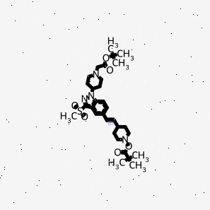 CC(C)(C)OC(=O)CN1CCC(n2nc(S(C)(=O)=O)c3cc(/C=C/C4CCN(OC(=O)C(C)(C)C)CC4)ccc32)CC1